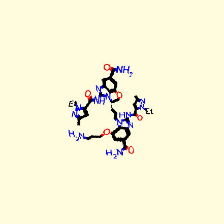 CCn1nc(C)cc1C(=O)Nc1nc2cc(C(N)=O)cc(OCCCN)c2n1CCC[C@H]1COc2cc(C(N)=O)cc3nc(NC(=O)c4cc(C)nn4CC)n1c23